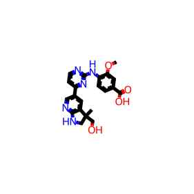 COc1cc(C(=O)O)ccc1Nc1nccc(-c2cnc3c(c2)C(C)(CO)CN3)n1